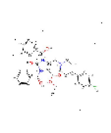 CCOC(=O)c1c(CN2CCC(c3ccc(Cl)cc3)CC2)n(C(=O)c2ccccc2)c(=O)n1C(=O)c1ccccc1